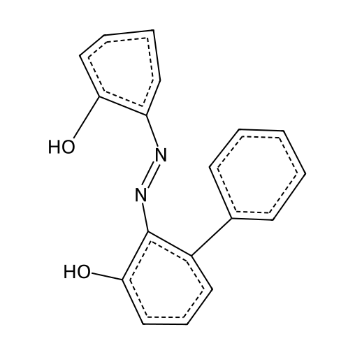 Oc1ccccc1N=Nc1c(O)cccc1-c1ccccc1